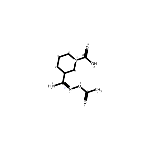 CC(=O)O/N=C(/N)C1CCCN(C(=O)O)C1